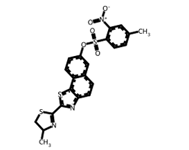 Cc1ccc(S(=O)(=O)Oc2ccc3c(ccc4nc(C5=NC(C)CS5)sc43)c2)c([N+](=O)[O-])c1